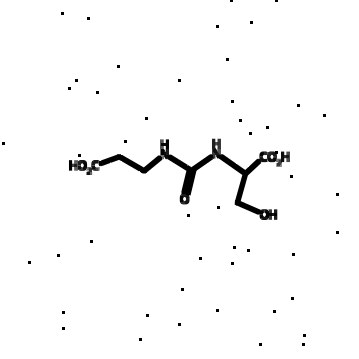 O=C(O)CCNC(=O)NC(CO)C(=O)O